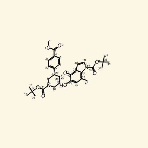 COC(=O)c1ccc([C@@H]2CN(C(=O)OC(C)(C)C)CC[C@H]2Oc2c(O)cc(C)c3c2ccn3C(=O)OC(C)(C)C)cc1